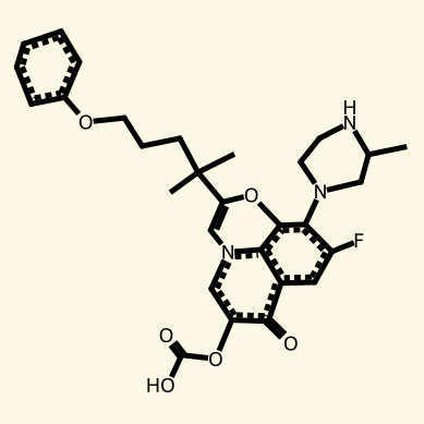 CC1CN(c2c(F)cc3c(=O)c(OC(=O)O)cn4c3c2OC(C(C)(C)CCCOc2ccccc2)=C4)CCN1